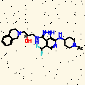 CC(=O)N1CCC(Nc2ncc(C(F)F)c3c(NC[C@H](O)CN4CCc5ccccc5C4)n[nH]c23)CC1